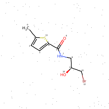 Cc1ccc(C(=O)NC[C@H](O)CBr)s1